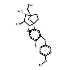 CCOc1ccc(Cc2cc([C@]34CC[C@](COC(C)=O)(O3)[C@@H](OC(C)=O)[C@H](OC(C)=O)[C@H]4OC(C)=O)ccc2Cl)cc1